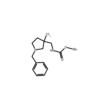 CC(C)(C)OC(=O)NCC1(C(F)(F)F)CCN(Cc2ccccc2)C1